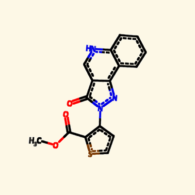 COC(=O)c1sccc1-n1nc2c3ccccc3[nH]cc-2c1=O